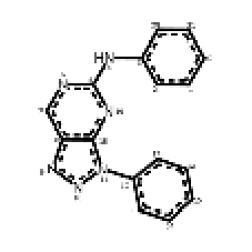 c1ccc(Nc2ncc3nnn(-c4ccccc4)c3n2)cc1